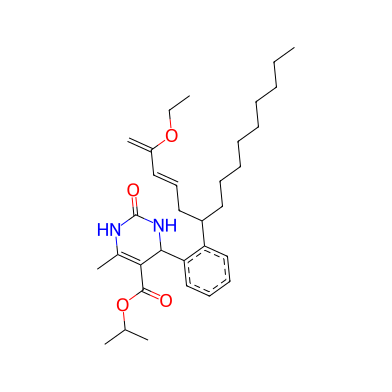 C=C(C=CCC(CCCCCCCCC)c1ccccc1C1NC(=O)NC(C)=C1C(=O)OC(C)C)OCC